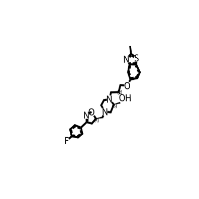 Cc1nc2cc(OC[C@H](O)CN3CCN(C[C@H]4CC(c5ccc(F)cc5)=NO4)C[C@@H]3C)ccc2s1